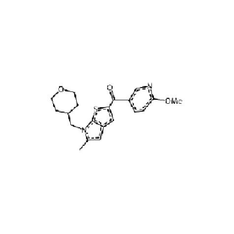 COc1ccc(C(=O)c2cc3cc(C)n(CC4CCOCC4)c3s2)cn1